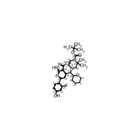 Cc1n[nH]c2nc(-c3ccc(O)cc3F)cc(C(C3CCCCO3)N3CCN(C(=O)OC(C)(C)C)C(C)(C)C3)c12